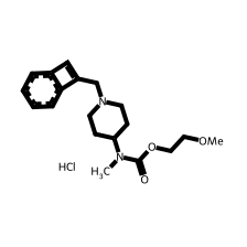 COCCOC(=O)N(C)C1CCN(CC2=Cc3ccccc32)CC1.Cl